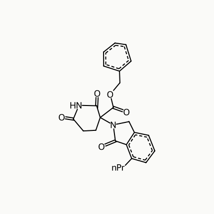 CCCc1cccc2c1C(=O)N(C1(C(=O)OCc3ccccc3)CCC(=O)NC1=O)C2